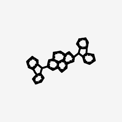 c1ccc2c(c1)-c1ccccc1C2c1cc2ccc3cc(C4c5ccccc5-c5ccccc54)cc4ccc(c1)c2c34